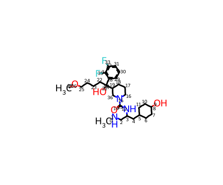 CNCC(CC1CCC(O)CC1)NC(=O)N1CCCC([C@@](O)(CCCCOC)c2cccc(F)c2F)C1